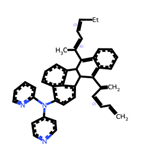 C=C/C=C\C(=C)C1=c2ccccc2=C(/C(C)=C/C=C\CC)C2c3cccc4c(N(c5ccncc5)c5ccccn5)ccc(c34)C12